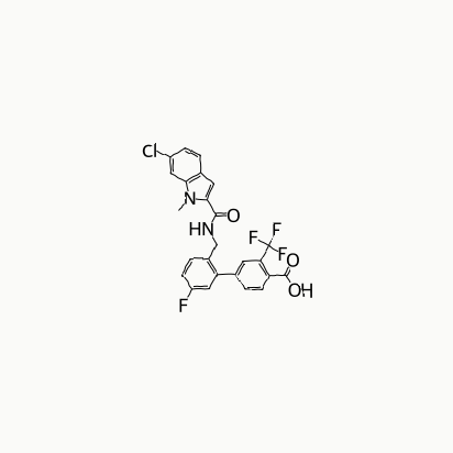 Cn1c(C(=O)NCc2ccc(F)cc2-c2ccc(C(=O)O)c(C(F)(F)F)c2)cc2ccc(Cl)cc21